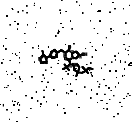 CCC(C)(C)CC(C)(CC)CN[C@H](C(=O)N1C[C@H](O)C[C@H]1C(=O)NCc1ccc(-c2scnc2C)cc1)C(C)(C)C